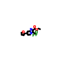 CCOC(=O)c1nc2cc(-c3ccco3)ccn2c1C(F)(F)Cl